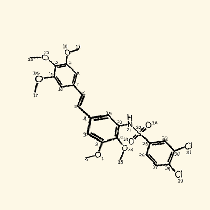 COc1cc(C=Cc2cc(OC)c(OC)c(OC)c2)cc(NS(=O)(=O)c2ccc(Cl)c(Cl)c2)c1OC